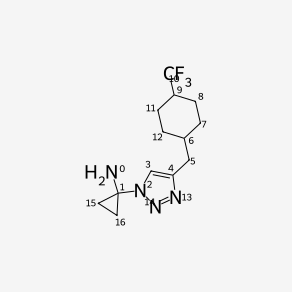 NC1(n2cc(CC3CCC(C(F)(F)F)CC3)nn2)CC1